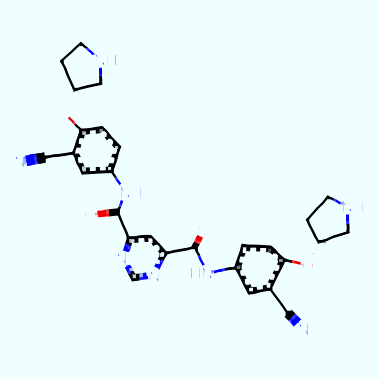 N#Cc1cc(NC(=O)c2cc(C(=O)Nc3ccc(O[C@@H]4CCNC4)c(C#N)c3)ncn2)ccc1O[C@@H]1CCNC1